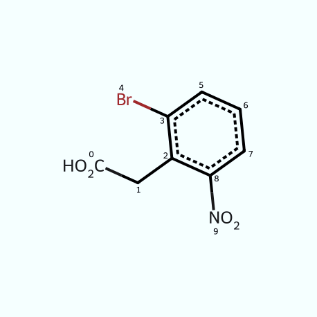 O=C(O)Cc1c(Br)cccc1[N+](=O)[O-]